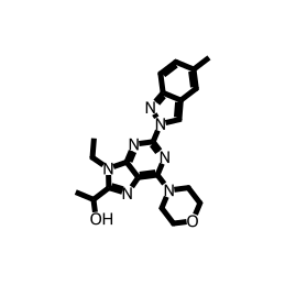 CCn1c(C(C)O)nc2c(N3CCOCC3)nc(-n3cc4cc(C)ccc4n3)nc21